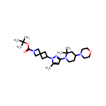 Cc1cc(N2CCC(N3CCOCC3)CC2(C)C)nn1C1CC2(C1)CN(C(=O)OC(C)(C)C)C2